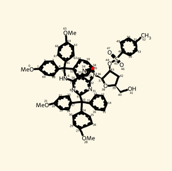 COc1ccc(C(Nc2nc(C(c3ccccc3)(c3ccc(OC)cc3)c3ccc(OC)cc3)nc3c2ncn3[C@@H]2O[C@H](CO)C[C@@H]2OS(=O)(=O)c2ccc(C)cc2)(c2ccccc2)c2ccc(OC)cc2)cc1